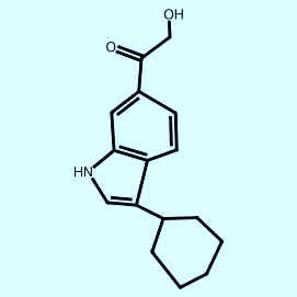 O=C(CO)c1ccc2c(C3CCCCC3)c[nH]c2c1